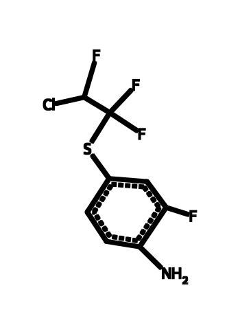 Nc1ccc(SC(F)(F)C(F)Cl)cc1F